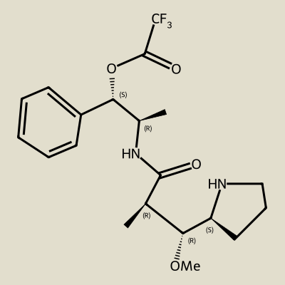 CO[C@@H]([C@@H]1CCCN1)[C@@H](C)C(=O)N[C@H](C)[C@@H](OC(=O)C(F)(F)F)c1ccccc1